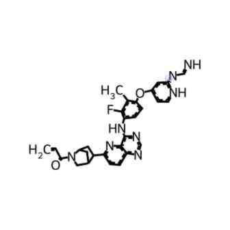 C=CC(=O)N1CC2CC1CC2c1ccc2ncnc(Nc3ccc(Oc4cc[nH]/c(=N\C=N)c4)c(C)c3F)c2n1